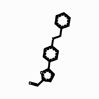 O=Cc1ccc(-c2ccc(SCc3ccccc3)cc2)o1